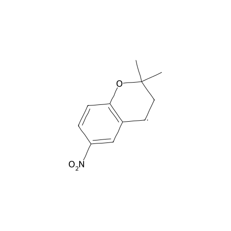 CC1(C)C[CH]c2cc([N+](=O)[O-])ccc2O1